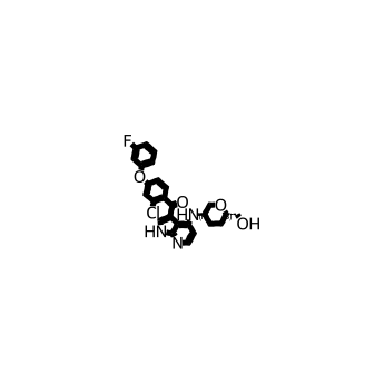 O=C(c1ccc(Oc2cccc(F)c2)cc1Cl)c1c[nH]c2nccc(N[C@@H]3CC[C@@H](CO)OC3)c12